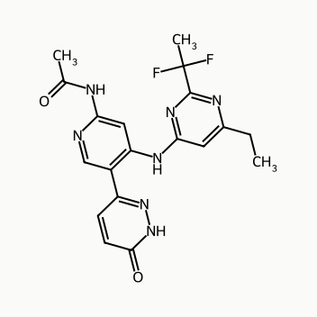 CCc1cc(Nc2cc(NC(C)=O)ncc2-c2ccc(=O)[nH]n2)nc(C(C)(F)F)n1